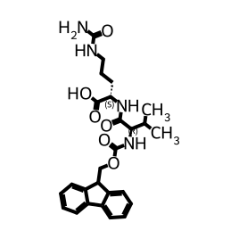 CC(C)[C@@H](NC(=O)OCC1c2ccccc2-c2ccccc21)C(=O)N[C@@H](CCCNC(N)=O)C(=O)O